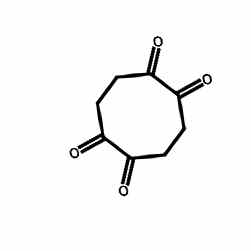 O=C1CCC(=O)C(=O)CCC1=O